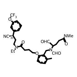 CCN(CC[C@@H](C#N)c1cccc(OC(F)(F)F)c1)C(=O)CCCOc1cccc(C)c1CN(C=O)C(C=O)CCC(=O)NC